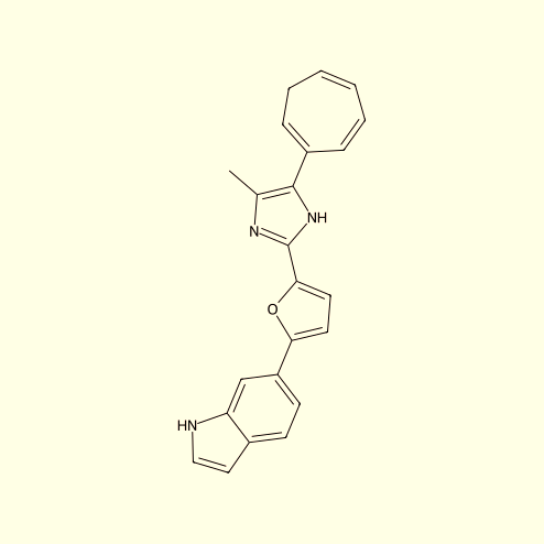 Cc1nc(-c2ccc(-c3ccc4cc[nH]c4c3)o2)[nH]c1C1=CCC=CC=C1